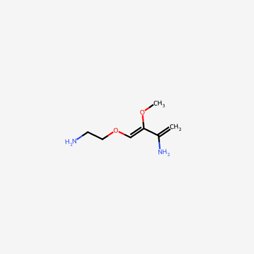 C=C(N)/C(=C/OCCN)OC